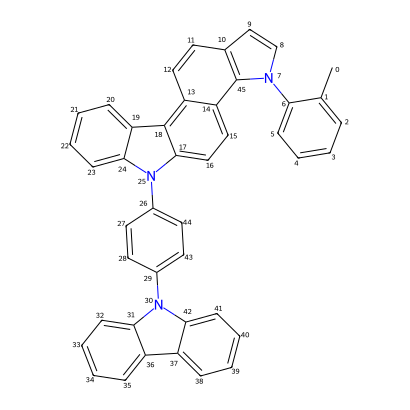 Cc1ccccc1-n1ccc2ccc3c(ccc4c3c3ccccc3n4-c3ccc(-n4c5ccccc5c5ccccc54)cc3)c21